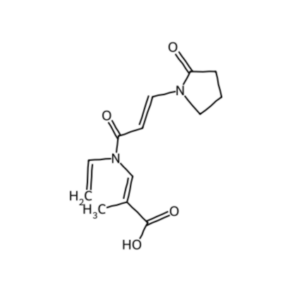 C=CN(C=C(C)C(=O)O)C(=O)C=CN1CCCC1=O